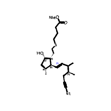 CCC#CC[C@H](C)C(C)/C=C/[C@@H]1[C@@H](CCSCCCC(=O)OC)[C@@H](O)C[C@H]1C